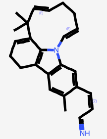 Cc1cc2c3c4n(c2cc1/C=C\C=N)/C=C/CC/C=C/C(C)(C)C4=CCC3